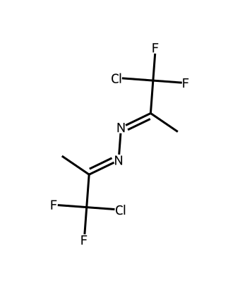 C/C(=N\N=C(/C)C(F)(F)Cl)C(F)(F)Cl